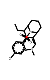 CCC1C(=O)C(=CN(C)C)C2CCCC1N2S(=O)(=O)c1ccc(Cl)cc1